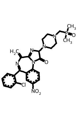 C=C1N=C(c2ccccc2Cl)c2cc([N+](=O)[O-])ccc2N2C(=O)C(N3CCN(CP(C)(C)=O)CC3)N=C12